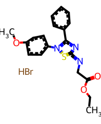 Br.CCOC(=O)CN=c1nc(-c2ccccc2)n(-c2ccc(OC)cc2)s1